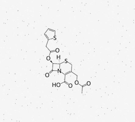 CC(=O)OCC1=C(C(=O)O)N2C(=O)[C@@H](OC(=O)Cc3cccs3)[C@H]2SC1